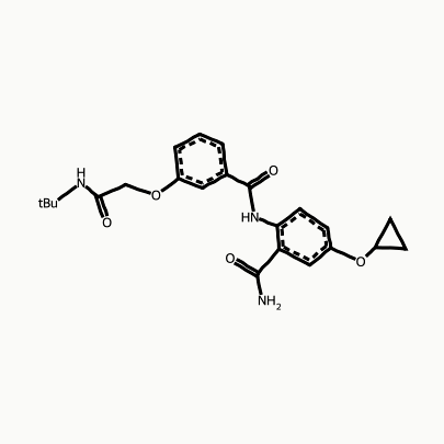 CC(C)(C)NC(=O)COc1cccc(C(=O)Nc2ccc(OC3CC3)cc2C(N)=O)c1